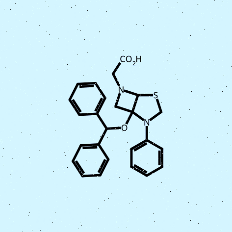 O=C(O)CN1CC2(OC(c3ccccc3)c3ccccc3)C1SCN2c1ccccc1